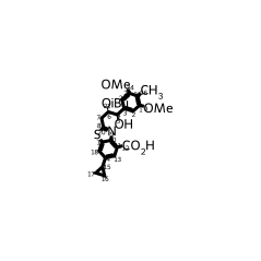 COc1cc([C@@H](O)[C@H](Cc2nc3c(C(=O)O)cc(C4CC4)cc3s2)OCC(C)C)cc(OC)c1C